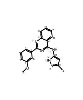 COc1cccc(-c2nc(Nc3cc(C)n[nH]3)c3ccccc3n2)c1